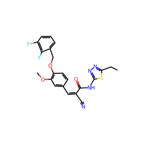 CCc1nnc(NC(=O)/C(C#N)=C\c2ccc(OCc3cccc(F)c3F)c(OC)c2)s1